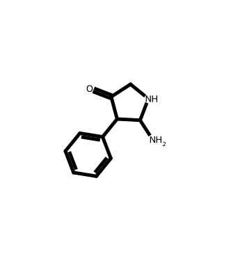 NC1NCC(=O)C1c1ccccc1